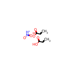 C=CC(=O)O.C=CC(=O)O.O=[NH+][O-]